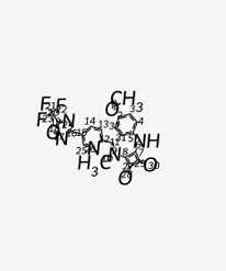 COc1ccc(Nc2c(N(C)Cc3ccc(-c4noc(C(F)(F)F)n4)cn3)c(=O)c2=O)cc1